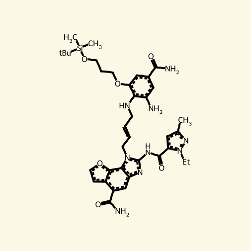 CCn1nc(C)cc1C(=O)Nc1nc2cc(C(N)=O)c3ccoc3c2n1CC=CCNc1c(N)cc(C(N)=O)cc1OCCCO[Si](C)(C)C(C)(C)C